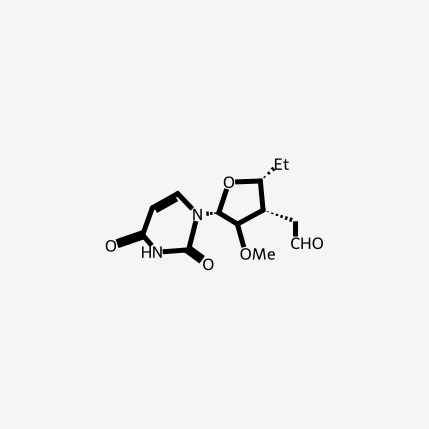 CC[C@H]1O[C@@H](n2ccc(=O)[nH]c2=O)C(OC)[C@H]1CC=O